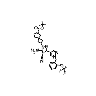 CC(C)(C)OC(=O)N1CC[C@]2(C1)C[C@H](n1nc(-c3cnn(Cc4ccccc4OC(F)(F)F)c3)c(C#N)c1N)C2